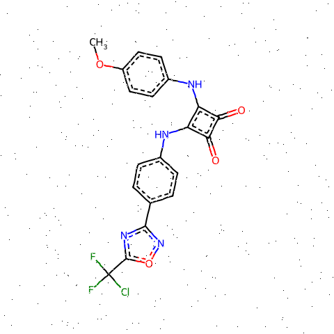 COc1ccc(Nc2c(Nc3ccc(-c4noc(C(F)(F)Cl)n4)cc3)c(=O)c2=O)cc1